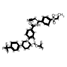 CCS(=O)(=O)c1ccc([C@H](CC#N)NC(=O)c2ccc(N3C[C@H](c4ccc(C(F)(F)F)cc4)CC[C@H]3COC(F)F)c(F)c2)cc1